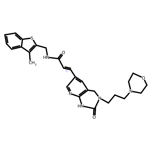 Cc1c(CNC(=O)/C=C/c2cnc3c(c2)CN(CCCN2CCOCC2)C(=O)N3)sc2ccccc12